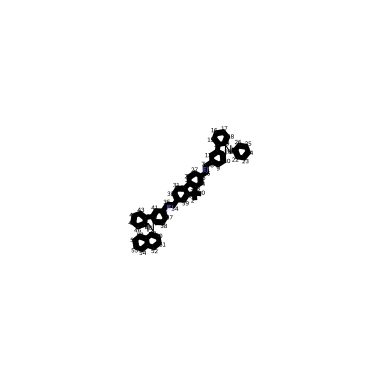 CC1(C)c2cc(/C=C/c3ccc4c(c3)c3ccccc3n4-c3ccccc3)ccc2-c2ccc(/C=C/c3ccc4c(c3)c3ccccc3n4-c3cccc4ccccc34)cc21